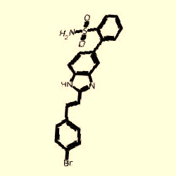 NS(=O)(=O)c1ccccc1-c1ccc2[nH]c(/C=C/c3ccc(Br)cc3)nc2c1